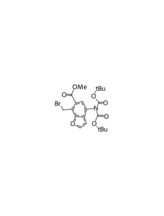 COC(=O)c1cc(N(C(=O)OC(C)(C)C)C(=O)OC(C)(C)C)c2ccoc2c1CBr